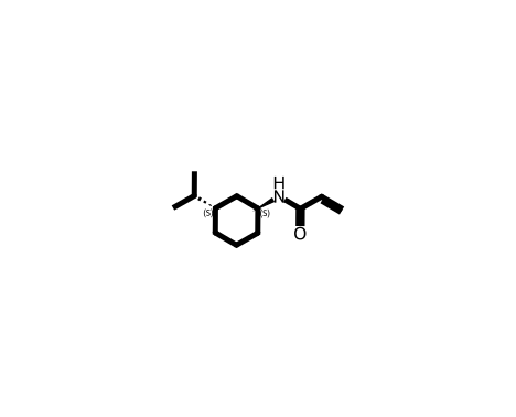 C=CC(=O)N[C@H]1CCC[C@H](C(C)C)C1